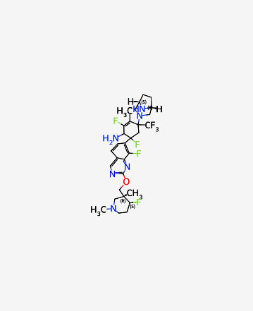 CC1=C(F)C(N)C(F)(c2ccc3cnc(OC[C@@]4(C)CN(C)CC[C@@H]4F)nc3c2F)CC1(N1C[C@H]2CC[C@@H](C1)N2)C(F)(F)F